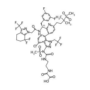 CC(C)(CCc1ccc(-c2ccc(Cl)c3c(N(C(=O)NCCNC(=O)C(=O)O)S(C)(=O)=O)nn(CC(F)(F)F)c23)c([C@H](Cc2cc(F)cc(F)c2)NC(=O)Cn2nc(C(F)(F)F)c3c2C(F)(F)CCC3)n1)S(C)(=O)=O